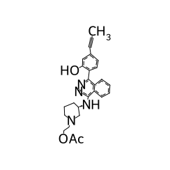 CC#Cc1ccc(-c2nnc(N[C@@H]3CCCN(CCOC(C)=O)C3)c3ccccc23)c(O)c1